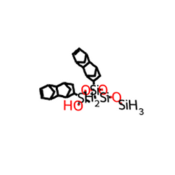 C[Si](O)(O[Si](C)(O[SiH2]O[SiH3])C1CC2CC1C1C3C=CC(C3)C21)C1CC2CC1C1C3C=CC(C3)C21